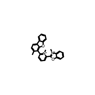 Cc1ccc2c(oc3ccccc32)c1-c1cccc(-c2oc3ccccc3[n+]2C)[n+]1C